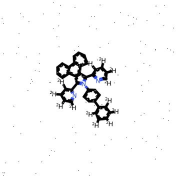 [2H]c1nc(-c2c3c4ccccc4c4ccccc4c3c(-c3nc([2H])c([2H])c([2H])c3[2H])n2-c2ccc(-c3c([2H])c([2H])c([2H])c([2H])c3[2H])cc2)c([2H])c([2H])c1[2H]